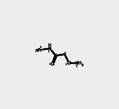 CCCNC(=O)CON